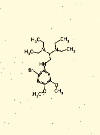 CCN(CC)C(CNc1cc(OC)c(OC)cc1Br)N(CC)CC